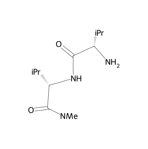 CNC(=O)[C@@H](NC(=O)[C@@H](N)C(C)C)C(C)C